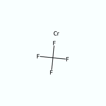 FC(F)(F)F.[Cr]